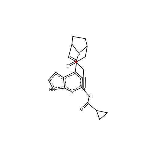 N#CCC(=O)N1C2C=C(c3cc(NC(=O)C4CC4)nc4[nH]ccc34)CC1CC2